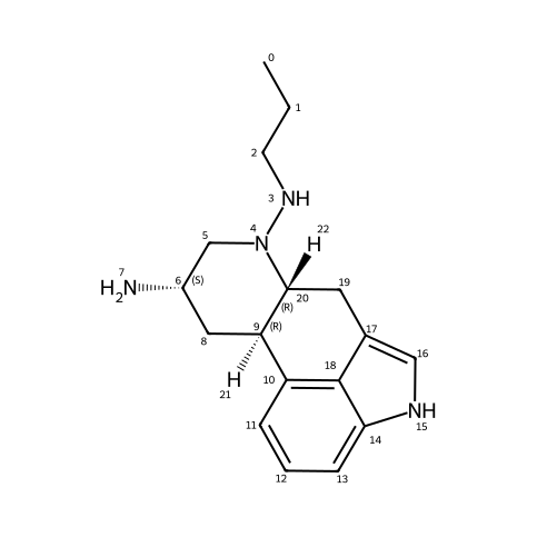 CCCNN1C[C@@H](N)C[C@@H]2c3cccc4[nH]cc(c34)C[C@H]21